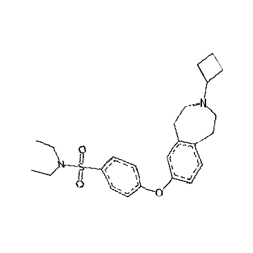 CCN(CC)S(=O)(=O)c1ccc(Oc2ccc3c(c2)CCN(C2CCC2)CC3)cc1